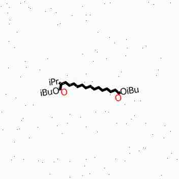 CC(C)COC(=O)CCCCCCCCCCCCCC(C(=O)OCC(C)C)C(C)C